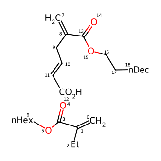 C=C(CC)C(=O)OCCCCCC.C=C(CC=CC(=O)O)C(=O)OCCCCCCCCCCCC